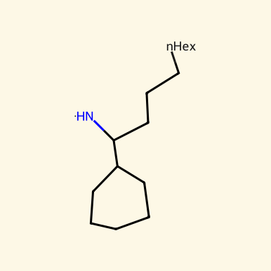 CCCCCCCCCC([NH])C1CCCCC1